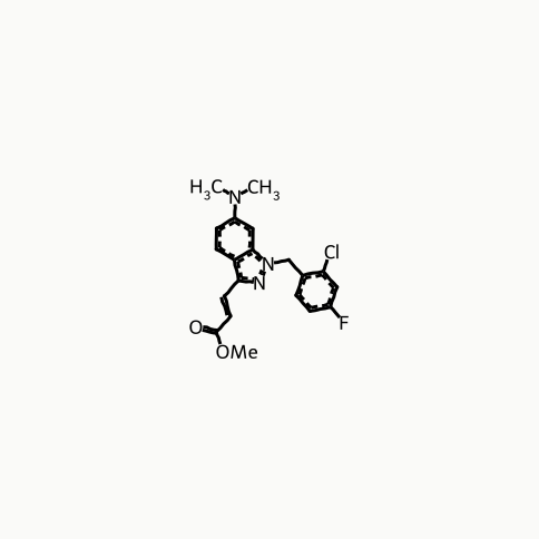 COC(=O)/C=C/c1nn(Cc2ccc(F)cc2Cl)c2cc(N(C)C)ccc12